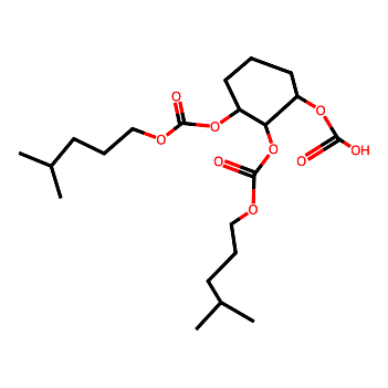 CC(C)CCCOC(=O)OC1CCCC(OC(=O)O)C1OC(=O)OCCCC(C)C